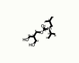 CC(C)CN(C(=O)OCC(CO)CO)C(C)C